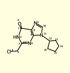 O=c1[nH]c(CCl)nc2c1ncn2C1CCCC1